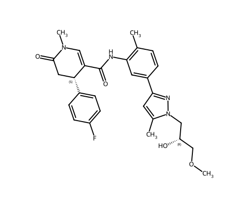 COC[C@H](O)Cn1nc(-c2ccc(C)c(NC(=O)C3=CN(C)C(=O)C[C@H]3c3ccc(F)cc3)c2)cc1C